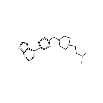 CN(C)CCN1CCN(Cc2ccc(-c3ccnc4[nH]ccc34)cc2)CC1